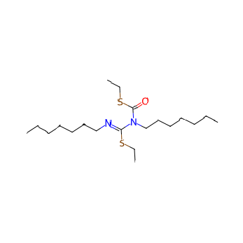 CCCCCCCN=C(SCC)N(CCCCCCC)C(=O)SCC